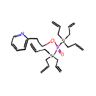 C=CC[Si](CC=C)(CC=C)P(=O)(OCCc1ccccn1)[Si](CC=C)(CC=C)CC=C